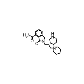 NC(=O)c1cccc2c1C(=O)N(CCC[N+]1(C3CCNCC3)CCCCC1)C2